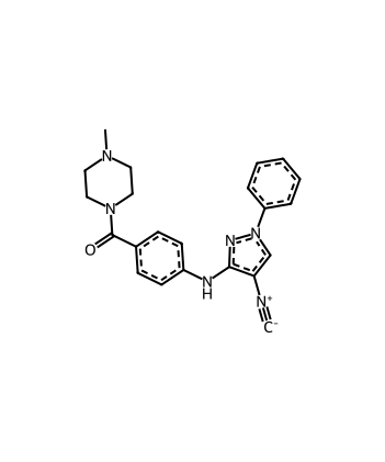 [C-]#[N+]c1cn(-c2ccccc2)nc1Nc1ccc(C(=O)N2CCN(C)CC2)cc1